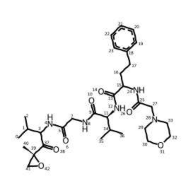 CC(C)C(NC(=O)CNC(=O)[C@@H](NC(=O)C(CCc1ccccc1)NC(=O)CN1CCOCC1)C(C)C)C(=O)[C@@]1(C)CO1